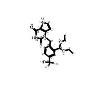 CCOC(OCC)c1cc(C(F)(F)F)ccc1Cn1c(=S)[nH]c(=O)c2[nH]ccc21